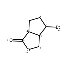 CCC1CCC2C(=O)OCC12